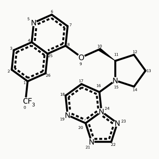 FC(F)(F)c1ccc2nccc(OC[C@H]3CCCN3c3ccnc4ncnn34)c2c1